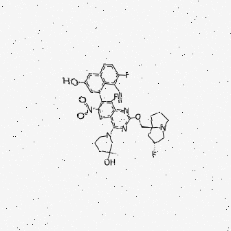 C#Cc1c(F)ccc2cc(O)cc(-c3c([N+](=O)[O-])cc4c(N5CCCC(C)(O)C5)nc(OC[C@@]56CCCN5C[C@H](F)C6)nc4c3F)c12